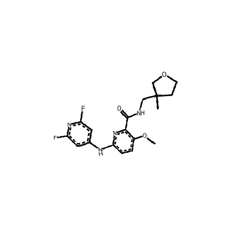 COc1ccc(Nc2cc(F)nc(F)c2)nc1C(=O)NCC1(C)CCOC1